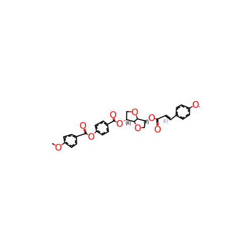 COc1ccc(/C=C/C(=O)O[C@@H]2COC3C2OC[C@H]3OC(=O)c2ccc(OC(=O)c3ccc(OC)cc3)cc2)cc1